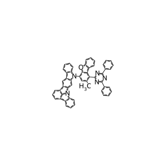 Cc1cc(-n2c3ccccc3c3cc4c5cccc6c7ccccc7n(c4cc32)c65)c2oc3ccccc3c2c1-c1nc(-c2ccccc2)nc(-c2ccccc2)n1